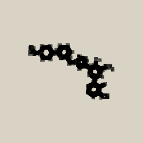 Cc1c(C#N)cccc1-c1nc(N)c(F)c(-c2cn(Cc3cccc(C4CCN([SH]=O)CC4)n3)nn2)n1